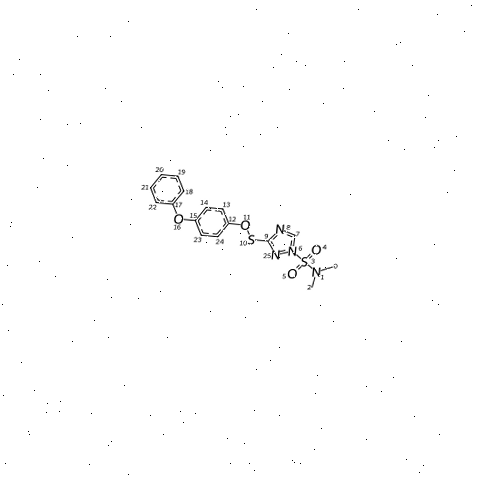 CN(C)S(=O)(=O)n1cnc(SOc2ccc(Oc3ccccc3)cc2)n1